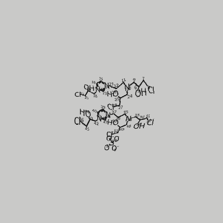 O=S(=O)([O-])[O-].OC(CCl)CN(CCCn1cc[n+](CC(O)CCl)c1)CC(O)CCl.OC(CCl)CN(CCCn1cc[n+](CC(O)CCl)c1)CC(O)CCl